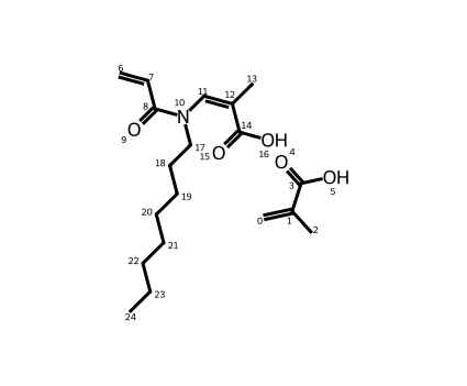 C=C(C)C(=O)O.C=CC(=O)N(C=C(C)C(=O)O)CCCCCCCC